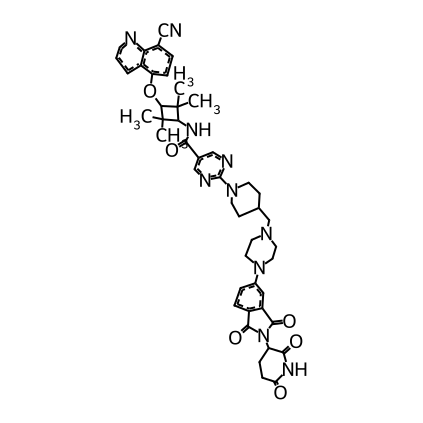 CC1(C)C(NC(=O)c2cnc(N3CCC(CN4CCN(c5ccc6c(c5)C(=O)N(C5CCC(=O)NC5=O)C6=O)CC4)CC3)nc2)C(C)(C)C1Oc1ccc(C#N)c2ncccc12